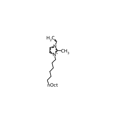 C=Cn1cc[n+](CCCCCCCCCCCCCC)c1C